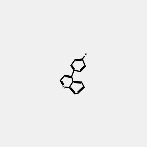 Fc1ccc(-c2ccnc3ccccc23)cc1